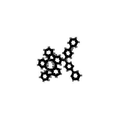 c1ccc(-c2ccc(N(c3ccc(-c4ccccc4)cc3)c3cc4c5ccccc5n5c6ccccc6n6c7ccccc7c7cccc(c(c3)c45)c76)cc2)cc1